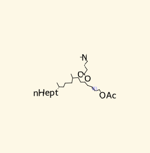 CCCCCCCC(C)CCCC(C)CCC(C/C=C/COC(C)=O)OC(=O)CCCN(C)C